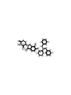 C=C1CCC(N2Cc3c(ccc(C[C@H]4CCCC[C@@H]4N(Cc4ccccc4)Cc4ccccc4)c3F)C2=O)C(=O)N1